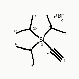 Br.C#C[Si](C(C)C)(C(C)C)C(C)C